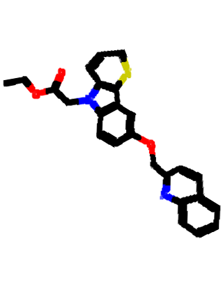 CCOC(=O)Cn1c2c(c3cc(OCc4ccc5ccccc5n4)ccc31)SCC=C2